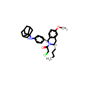 CCCC[C@H]1Cc2cc(OC)ccc2[C@H](c2ccc(NC34CC5CC(CC(C5)C3)C4)cc2)N1C(=O)CCl